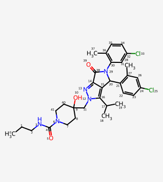 CCCNC(=O)N1CCC(O)(Cn2nc3c(c2C(C)C)C(c2ccc(Cl)cc2C)N(c2cc(Cl)ccc2C)C3=O)CC1